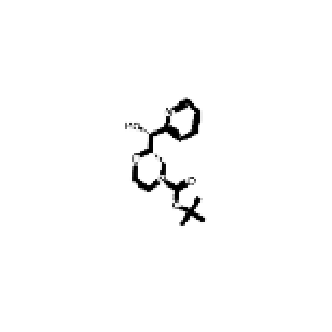 CC(C)(C)OC(=O)N1CCO[C@H]([C@H](O)c2ccccn2)C1